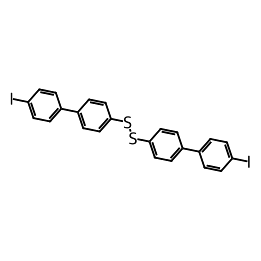 Ic1ccc(-c2ccc(SSc3ccc(-c4ccc(I)cc4)cc3)cc2)cc1